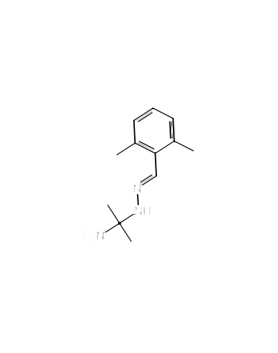 Cc1cccc(C)c1/C=N/NC(C)(C)N